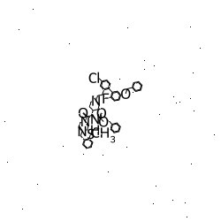 CSc1ccccc1CN1CCN(C(=O)[C@H](NC(=O)OCc2ccccc2)C2CCN(CCc3cc(Cl)ccc3-c3cc(OCc4ccccc4)ccc3F)CC2)CC1